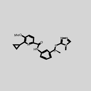 COc1ccc(C(=O)Nc2cccc([C@H](C)Sc3nncn3C)c2)nc1C1CC1